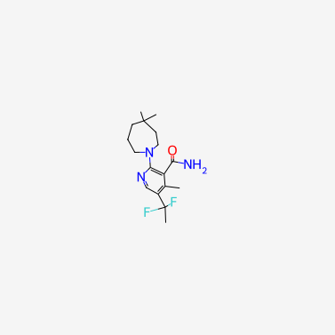 Cc1c(C(C)(F)F)cnc(N2CCCC(C)(C)CC2)c1C(N)=O